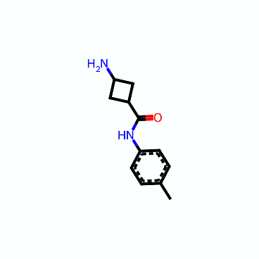 Cc1ccc(NC(=O)C2CC(N)C2)cc1